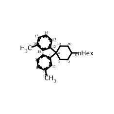 CCCCCCC1CCC(c2cccc(C)c2)(c2cccc(C)c2)CC1